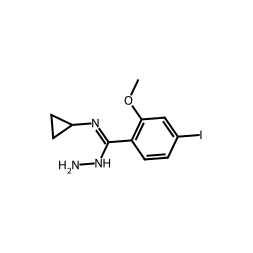 COc1cc(I)ccc1C(=NC1CC1)NN